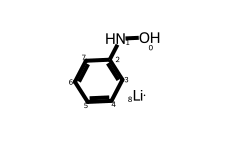 ONc1ccccc1.[Li]